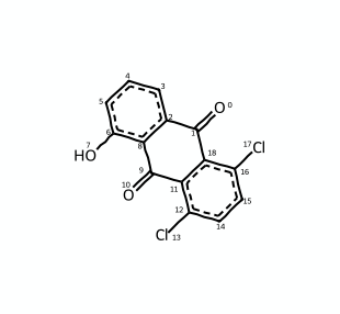 O=C1c2cccc(O)c2C(=O)c2c(Cl)ccc(Cl)c21